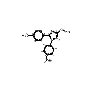 CCCOc1nc(-c2ccc(OC)cc2)n(-c2ccc(OC)cc2)n1